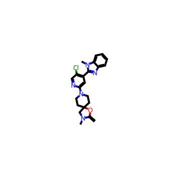 C=C1OC2(CCN(c3cc(-c4nc5ccccc5n4C)c(Cl)cn3)CC2)CN1C